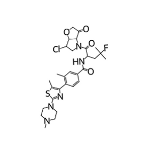 Cc1cc(C(=O)NC(CC(C)(C)F)C(=O)N2CC(Cl)C3OCC(=O)C32)ccc1-c1nc(N2CCN(C)CC2)sc1C